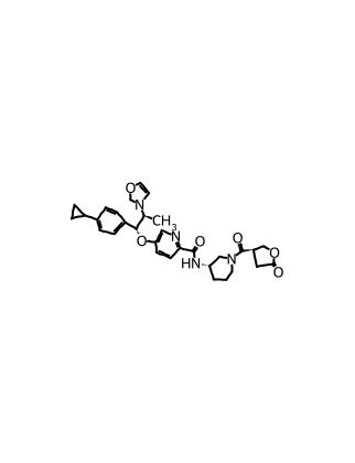 C[C@@H]([C@H](Oc1ccc(C(=O)N[C@H]2CCCN(C(=O)[C@H]3COC(=O)C3)C2)nc1)c1ccc(C2CC2)cc1)N1C=COC1